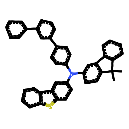 CC1(C)c2ccccc2-c2cc(N(c3ccc(-c4cccc(-c5ccccc5)c4)cc3)c3ccc4sc5ccccc5c4c3)ccc21